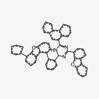 c1ccc(-c2cccc3c2oc2cccc(-c4ccccc4C4N=C(c5cccc6c5oc5ccccc56)N=C(c5cc6ccccc6c6ccccc56)N4)c23)cc1